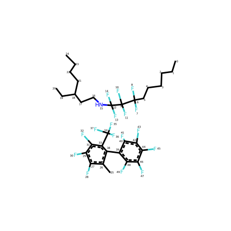 CCCCCCC(F)(F)C(F)(F)C(F)(F)NCCC(CC)CCCC.Cc1c(F)c(F)c(F)c(C(F)(F)F)c1-c1c(F)c(F)c(F)c(F)c1F